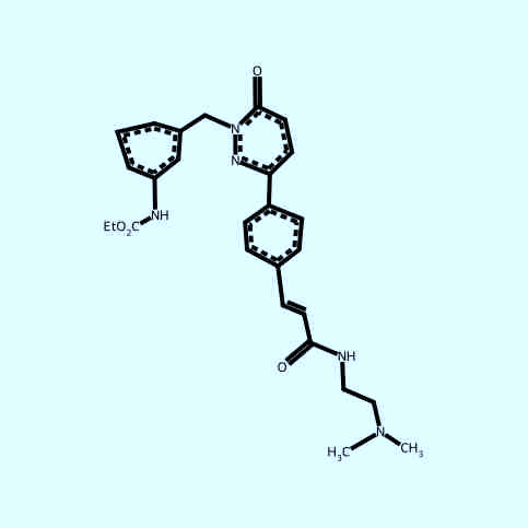 CCOC(=O)Nc1cccc(Cn2nc(-c3ccc(/C=C/C(=O)NCCN(C)C)cc3)ccc2=O)c1